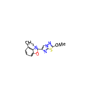 COc1nn2cc(-c3nc4c(C)cccc4o3)nc2s1